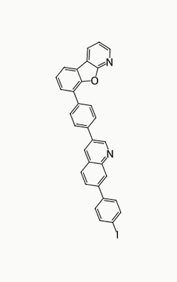 Ic1ccc(-c2ccc3cc(-c4ccc(-c5cccc6c5oc5ncccc56)cc4)cnc3c2)cc1